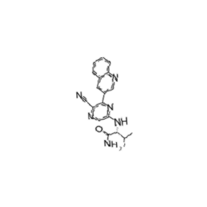 CC(C)[C@@H](Nc1cnc(C#N)c(-c2cnc3ccccc3c2)n1)C(N)=O